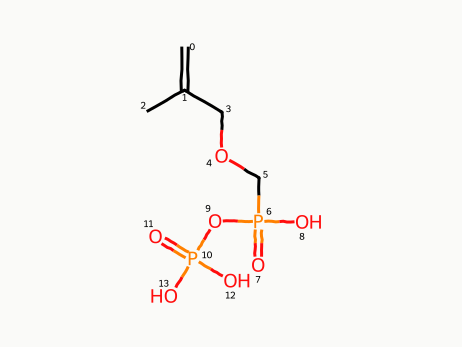 C=C(C)COCP(=O)(O)OP(=O)(O)O